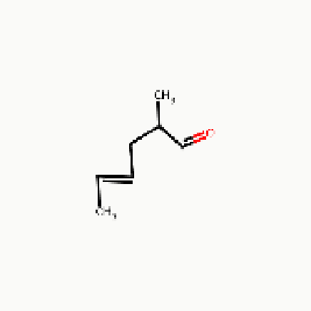 C/C=C/CC(C)[C]=O